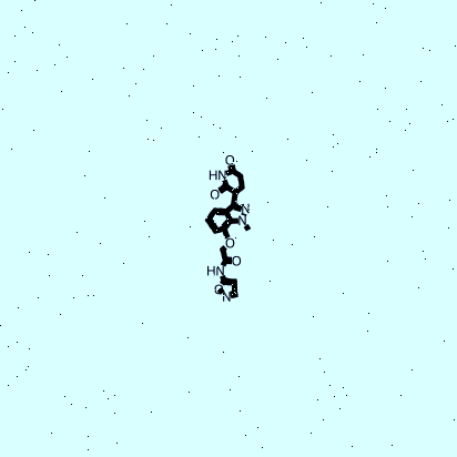 Cn1nc(C2CCC(=O)NC2=O)c2cccc(OCC(=O)Nc3ccno3)c21